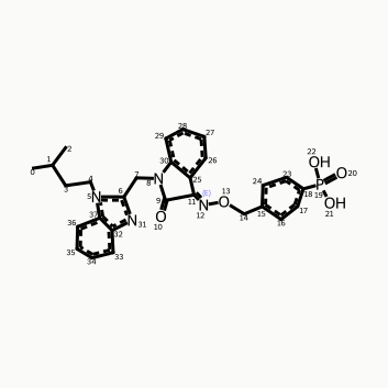 CC(C)CCn1c(CN2C(=O)/C(=N/OCc3ccc(P(=O)(O)O)cc3)c3ccccc32)nc2ccccc21